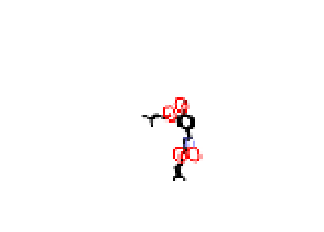 COc1ccc(/C=C/C(=O)OCC=C(C)C)cc1OCC=C(C)C